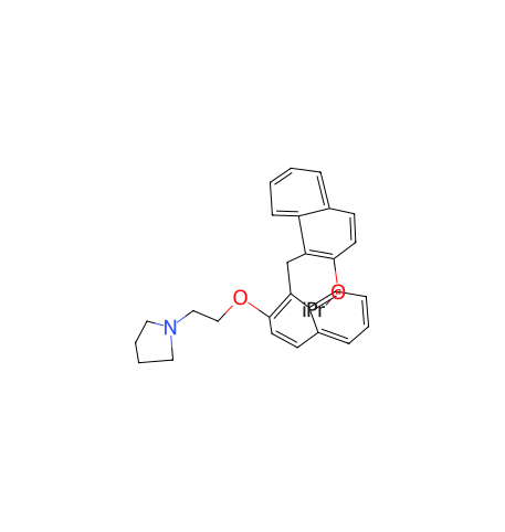 CC(C)Oc1ccc2ccccc2c1Cc1c(OCCN2CCCC2)ccc2ccccc12